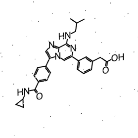 CC(C)CNc1nc(-c2cccc(CC(=O)O)c2)cn2c(-c3ccc(C(=O)NC4CC4)cc3)cnc12